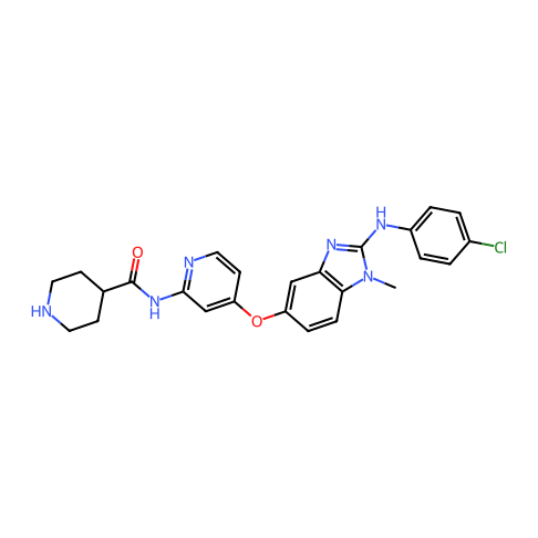 Cn1c(Nc2ccc(Cl)cc2)nc2cc(Oc3ccnc(NC(=O)C4CCNCC4)c3)ccc21